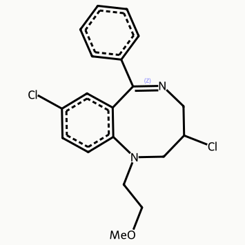 COCCN1CC(Cl)C/N=C(/c2ccccc2)c2cc(Cl)ccc21